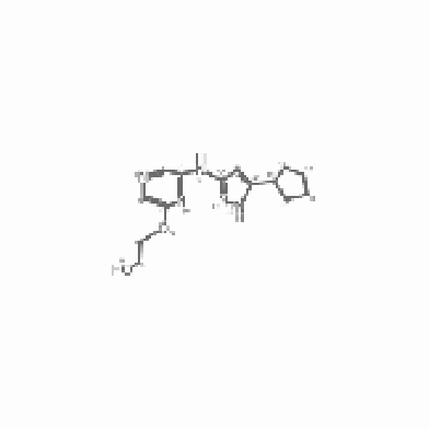 OCCOc1cncc(Nc2cc(C3CCCC3)[nH]n2)n1